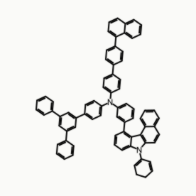 C1=CC(n2c3cccc(-c4cccc(N(c5ccc(-c6ccc(-c7cccc8ccccc78)cc6)cc5)c5ccc(-c6cc(-c7ccccc7)cc(-c7ccccc7)c6)cc5)c4)c3c3c4ccccc4ccc32)=CCC1